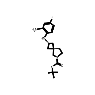 CC(C)(C)OC(=O)N1CC[C@]2(C1)C[C@H](Nc1ccc(F)cc1N)C2